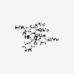 COc1ccc(S(=O)(=O)C(Nc2c(C(=O)NO)cc(OC)c(OC)c2OC)c2cccnc2)cc1